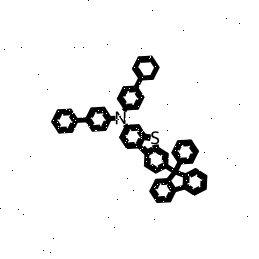 C1=CCCC(c2ccc(N(c3ccc(-c4ccccc4)cc3)c3ccc4c(c3)sc3cc(C5(c6ccccc6)c6ccccc6-c6ccccc65)ccc34)cc2)=C1